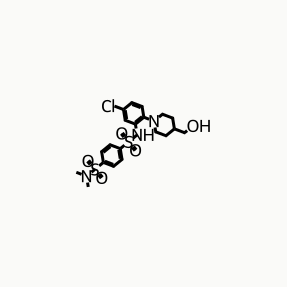 CN(C)S(=O)(=O)c1ccc(S(=O)(=O)Nc2cc(Cl)ccc2N2CCC(CO)CC2)cc1